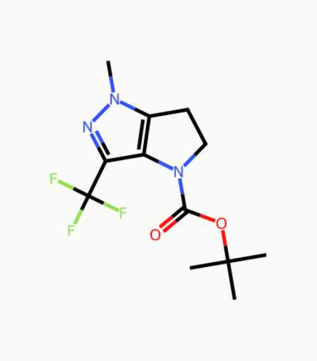 Cn1nc(C(F)(F)F)c2c1CCN2C(=O)OC(C)(C)C